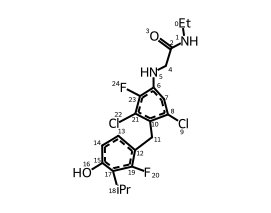 CCNC(=O)CNc1cc(Cl)c(Cc2ccc(O)c(C(C)C)c2F)c(Cl)c1F